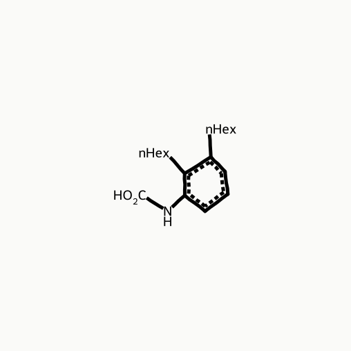 CCCCCCc1cccc(NC(=O)O)c1CCCCCC